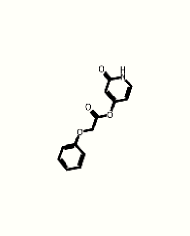 O=C(COc1ccccc1)Oc1cc[nH]c(=O)c1